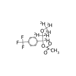 [2H]C([2H])([2H])OC([2H])([2H])[C@@]([2H])(OS(C)(=O)=O)c1ccc(C(F)(F)F)cc1